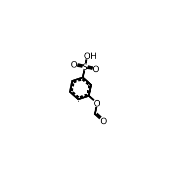 O=COc1[c]ccc(S(=O)(=O)O)c1